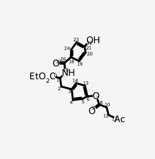 CCOC(=O)C(Cc1ccc(OC(=O)CCC(C)=O)cc1)NC(=O)c1ccc(O)cc1